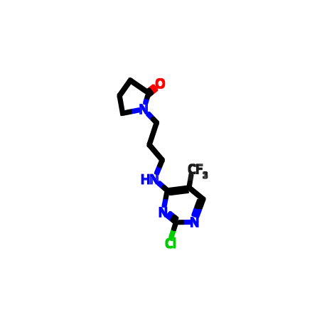 O=C1CCCN1CCCNc1nc(Cl)ncc1C(F)(F)F